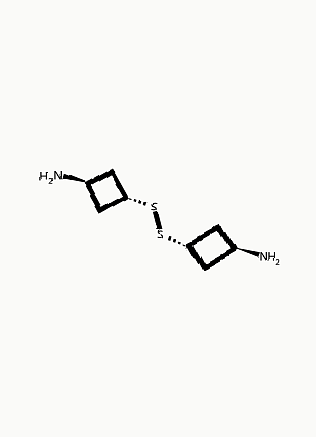 N[C@H]1C[C@H](SS[C@H]2C[C@H](N)C2)C1